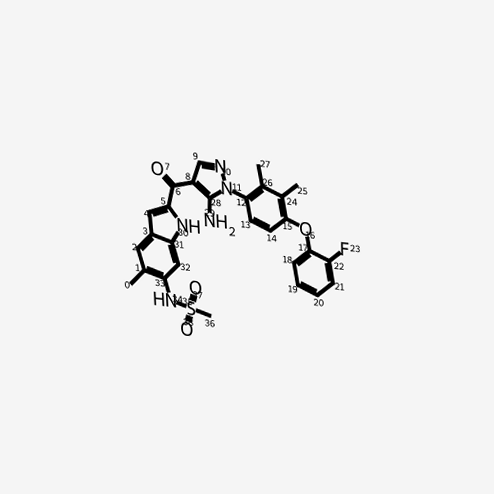 Cc1cc2cc(C(=O)c3cnn(-c4ccc(Oc5ccccc5F)c(C)c4C)c3N)[nH]c2cc1NS(C)(=O)=O